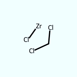 ClCCl.[Cl][Zr]